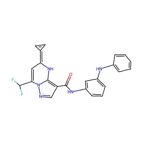 O=C(Nc1cccc(Nc2ccccc2)c1)c1cnn2c1NC(=C1C=C1)C=C2C(F)F